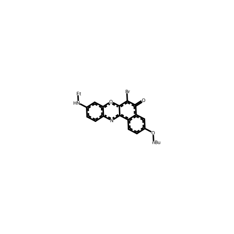 CCCCOc1ccc2c3nc4ccc(NCC)cc4oc-3c(Br)c(=O)c2c1